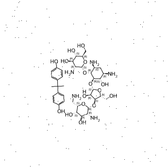 CC(C)(c1ccc(O)cc1)c1ccc(O)cc1.NC[C@@H]1O[C@H](O[C@H]2[C@@H](O)[C@H](O[C@@H]3[C@@H](O)[C@H](N)C[C@H](N)[C@H]3O[C@H]3O[C@H](CO)[C@@H](O)[C@H](O)[C@H]3N)O[C@@H]2CO)[C@H](N)[C@@H](O)[C@@H]1O